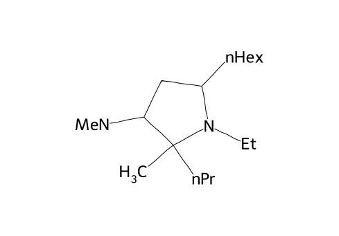 CCCCCCC1CC(NC)C(C)(CCC)N1CC